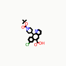 CC(C)(C)OC(=O)N1CCC(C2c3ccc(Cl)cc3C(C(=O)O)=Cc3cccnc32)CC1